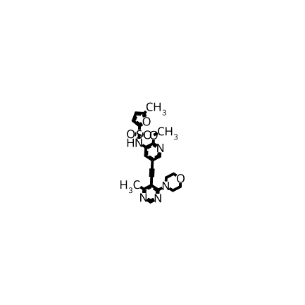 COc1ncc(C#Cc2c(C)ncnc2N2CCOCC2)cc1NS(=O)(=O)c1ccc(C)o1